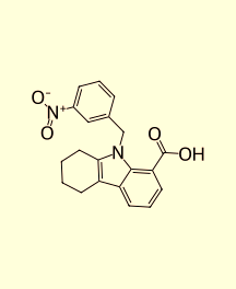 O=C(O)c1cccc2c3c(n(Cc4cccc([N+](=O)[O-])c4)c12)CCCC3